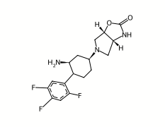 N[C@H]1C[C@@H](N2C[C@@H]3OC(=O)N[C@@H]3C2)CCC1c1cc(F)c(F)cc1F